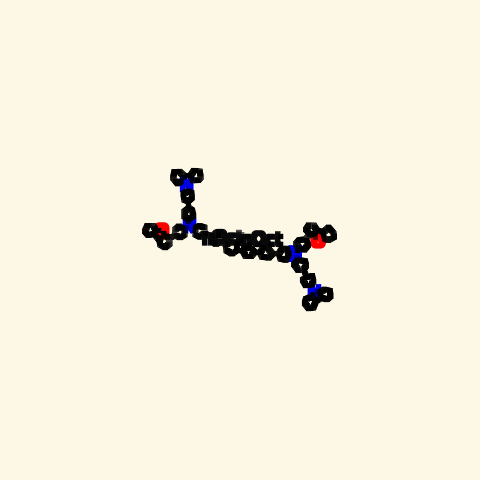 CCCCCCCCC1(CCCCCCCC)c2cc(-c3ccc(-c4ccc(N(c5ccc(-c6ccc(-n7c8ccccc8c8ccccc87)cc6)cc5)c5ccc(-c6cccc7c6oc6ccccc67)cc5)cc4)cc3)ccc2-c2ccc(-c3ccc(-c4ccc(N(c5ccc(-c6ccc(-n7c8ccccc8c8ccccc87)cc6)cc5)c5ccc(-c6cccc7c6oc6ccccc67)cc5)cc4)cc3)cc21